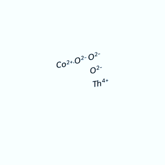 [Co+2].[O-2].[O-2].[O-2].[Th+4]